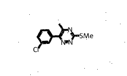 CSc1nnc(-c2cccc(Cl)c2)c(C)n1